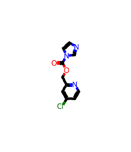 O=C(OCc1cc(Cl)ccn1)n1ccnc1